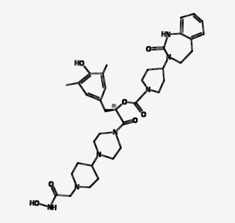 Cc1cc(C[C@@H](OC(=O)N2CCC(N3CCc4ccccc4NC3=O)CC2)C(=O)N2CCN(C3CCN(CC(=O)NO)CC3)CC2)cc(C)c1O